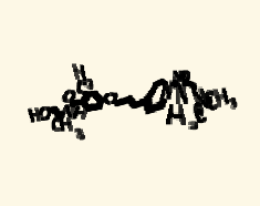 Cc1cc(OCCCC2CCN(c3noc(CN(C)C)n3)CC2)ccc1C(=O)N[C@H](C)CO